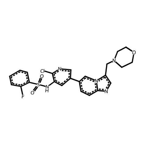 O=S(=O)(Nc1cc(-c2ccc3ncc(CN4CCOCC4)n3c2)cnc1Cl)c1ccccc1F